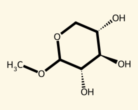 COC1OC[C@H](O)[C@@H](O)[C@@H]1O